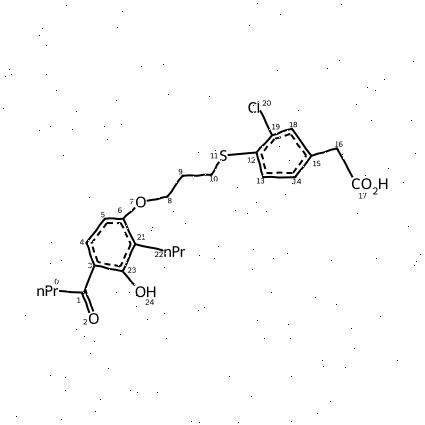 CCCC(=O)c1ccc(OCCCSc2ccc(CC(=O)O)cc2Cl)c(CCC)c1O